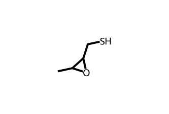 CC1OC1CS